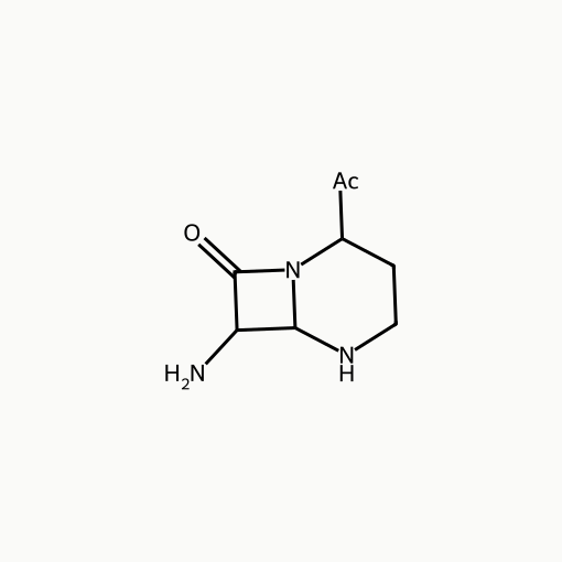 CC(=O)C1CCNC2C(N)C(=O)N12